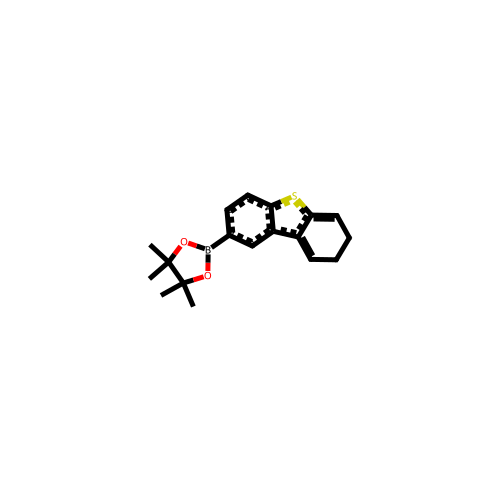 CC1(C)OB(c2ccc3sc4c(c3c2)=CCCC=4)OC1(C)C